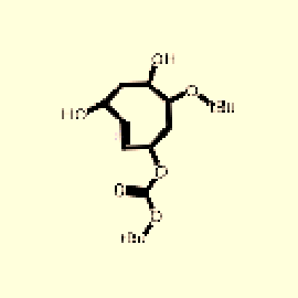 CC(C)(C)OC(=O)OC1/C=C/C(O)CC(O)C(OC(C)(C)C)C1